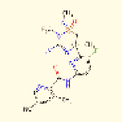 CN=S1(=O)C[C@@](C)(c2nc(NC(=O)c3ncc(C#N)cc3C)ccc2F)N=C(N)N1C(F)(F)F